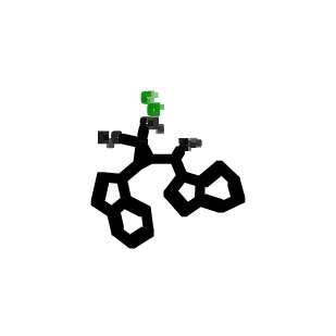 C[Si]1(C)C(C2C=Cc3ccccc32)C1[CH]([Zr+2])C1C=Cc2ccccc21.[Cl-].[Cl-]